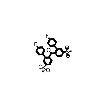 CS(=O)(=O)c1ccc(C(=O)c2ccc(S(C)(=O)=O)cc2-c2ccc(F)cc2)c(-c2ccc(F)cc2)c1